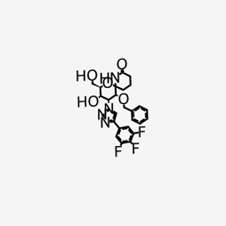 O=C1CCCC2(N1)O[C@H](CO)[C@H](O)[C@H](n1cc(-c3cc(F)c(F)c(F)c3)nn1)[C@H]2OCc1ccccc1